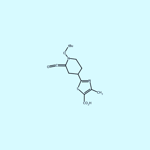 Cc1nc(C2CCN(OC(C)(C)C)C(=C=O)C2)sc1C(=O)O